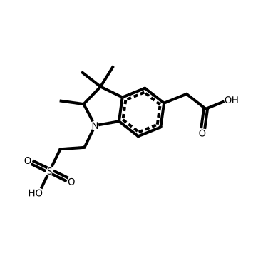 CC1N(CCS(=O)(=O)O)c2ccc(CC(=O)O)cc2C1(C)C